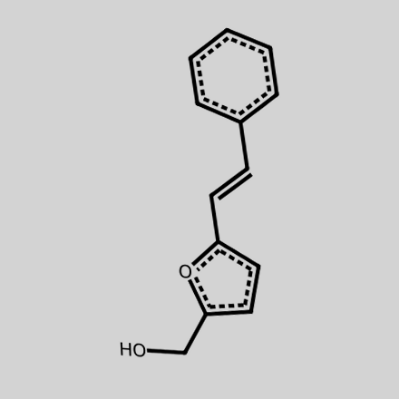 OCc1ccc(/C=C/c2ccccc2)o1